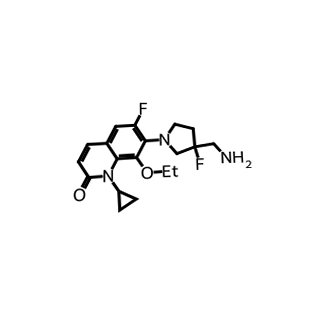 CCOc1c(N2CCC(F)(CN)C2)c(F)cc2ccc(=O)n(C3CC3)c12